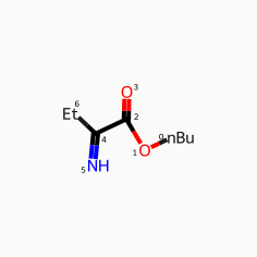 CCCCOC(=O)C(=N)CC